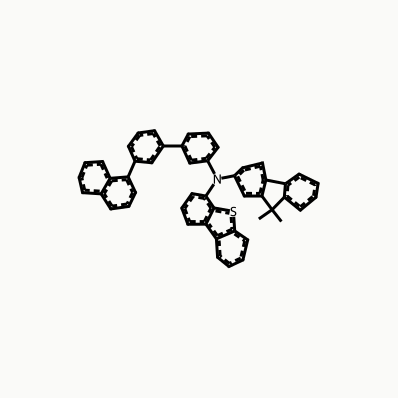 CC1(C)c2ccccc2-c2ccc(N(c3cccc(-c4cccc(-c5cccc6ccccc56)c4)c3)c3cccc4c3sc3ccccc34)cc21